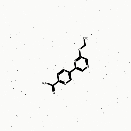 CCOc1cncc(-c2ccc(C(N)=O)nc2)n1